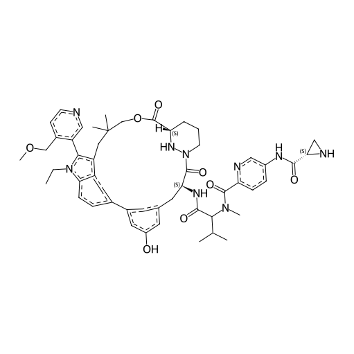 CCn1c(-c2cnccc2COC)c2c3cc(ccc31)-c1cc(O)cc(c1)C[C@H](NC(=O)C(C(C)C)N(C)C(=O)c1ccc(NC(=O)[C@@H]3CN3)cn1)C(=O)N1CCC[C@H](N1)C(=O)OCC(C)(C)C2